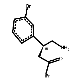 CC(C)C(=O)C[C@H](CN)c1cccc(Br)c1